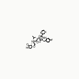 CC(C)C[C@H](NC(=O)[C@H](Cc1ccc(F)cc1)NC(=O)c1cnccn1)C(=O)N[C@H](C=O)C[C@@H]1CCNC1=O